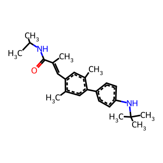 C/C(=C\c1cc(C)c(-c2ccc(NC(C)(C)C)cc2)cc1C)C(=O)NC(C)C